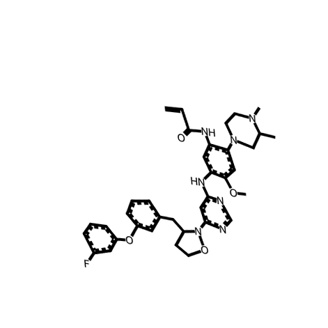 C=CC(=O)Nc1cc(Nc2cc(N3OCCC3Cc3cccc(Oc4cccc(F)c4)c3)ncn2)c(OC)cc1N1CCN(C)C(C)C1